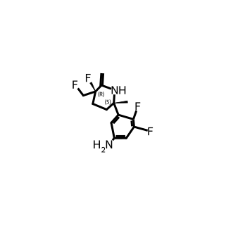 C=C1N[C@](C)(c2cc(N)cc(F)c2F)CC[C@]1(F)CF